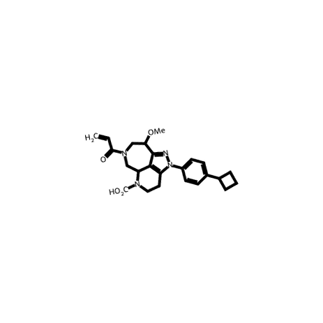 C=CC(=O)N1CC(OC)c2nn(-c3ccc(C4CCC4)cc3)c3c2C(C1)N(C(=O)O)CC3